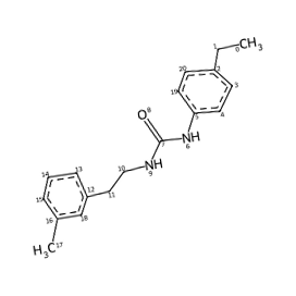 CCc1ccc(NC(=O)NCCc2cccc(C)c2)cc1